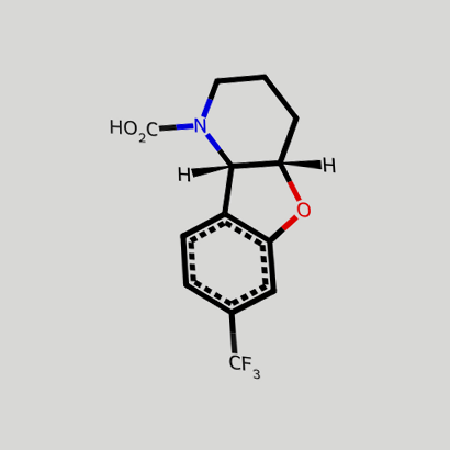 O=C(O)N1CCC[C@@H]2Oc3cc(C(F)(F)F)ccc3[C@@H]21